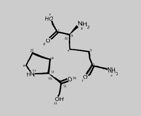 NC(=O)CC[C@H](N)C(=O)O.O=C(O)[C@@H]1CCCN1